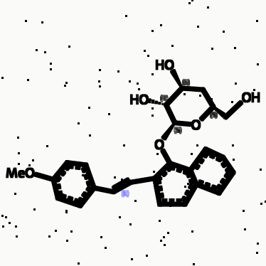 COc1ccc(/C=C/c2ccc3ccccc3c2O[C@@H]2O[C@H](CO)C[C@H](O)[C@H]2O)cc1